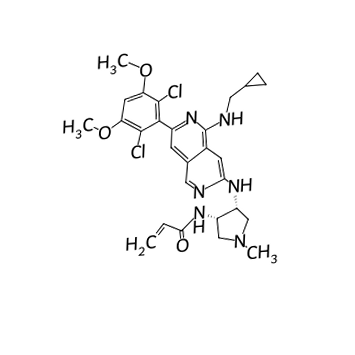 C=CC(=O)N[C@H]1CN(C)C[C@H]1Nc1cc2c(NCC3CC3)nc(-c3c(Cl)c(OC)cc(OC)c3Cl)cc2cn1